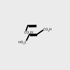 C=CC(=O)OCC.O=C(O)C=CC(=O)O